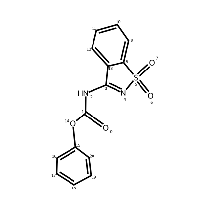 O=C(NC1=NS(=O)(=O)c2ccccc21)Oc1ccccc1